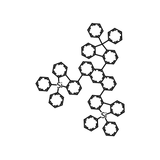 c1ccc(C2(c3ccccc3)c3ccccc3-c3c(-c4c5cccc(-c6cccc7c6-c6ccccc6[Si]7(c6ccccc6)c6ccccc6)c5cc5c(-c6cccc7c6-c6ccccc6[Si]7(c6ccccc6)c6ccccc6)cccc45)cccc32)cc1